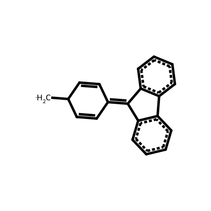 [CH2]C1C=CC(=C2c3ccccc3-c3ccccc32)C=C1